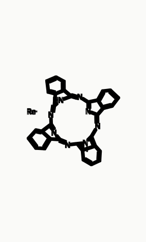 [Re].c1ccc2c(c1)-c1nc-2nc2[nH]c(nc3nc(nc4[nH]c(n1)c1ccccc41)-c1ccccc1-3)c1ccccc21